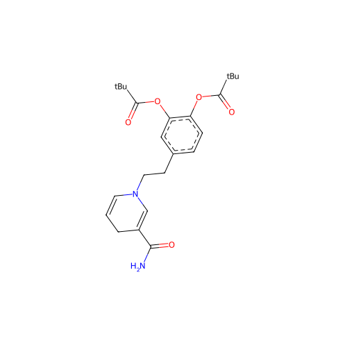 CC(C)(C)C(=O)Oc1ccc(CCN2C=CCC(C(N)=O)=C2)cc1OC(=O)C(C)(C)C